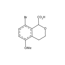 COc1ccc(Br)c2c1CCOC2C(=O)O